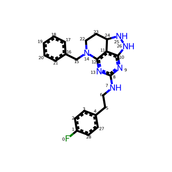 Fc1ccc(CCNc2nc3c4c(n2)N(Cc2ccccc2)CCC4NN3)cc1